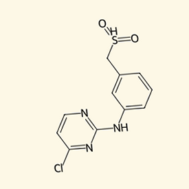 O=[SH](=O)Cc1cccc(Nc2nccc(Cl)n2)c1